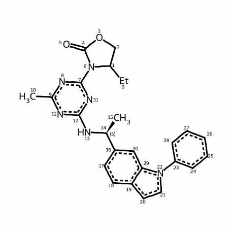 CCC1COC(=O)N1c1nc(C)nc(N[C@@H](C)c2ccc3ccn(-c4ccccc4)c3c2)n1